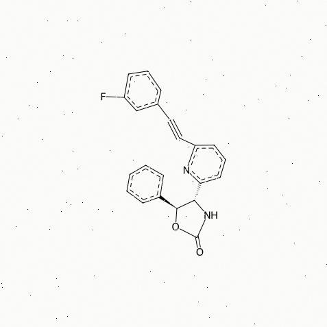 O=C1N[C@@H](c2cccc(C#Cc3cccc(F)c3)n2)[C@H](c2ccccc2)O1